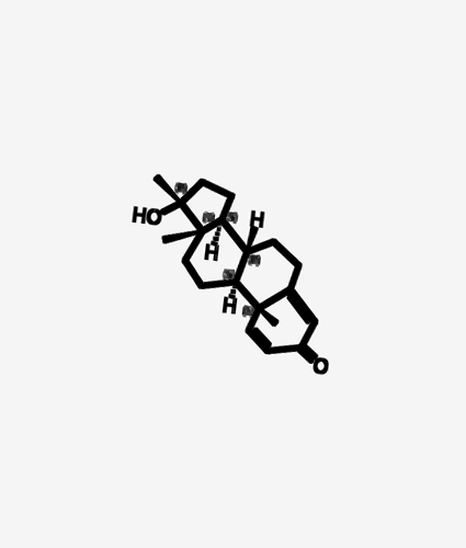 C[C@]12C=CC(=O)C=C1CC[C@@H]1[C@@H]2CC[C@@]2(C)[C@H]1CC[C@@]2(C)O